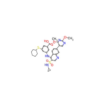 COc1ncc(-c2ccc3c(Nc4cc(SC5CCCCC5)cc(C(=O)O)c4)c(S(=O)(=O)NC4CC4)cnc3c2)c(OC)n1